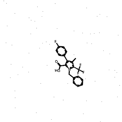 Cc1c(-c2ccc(F)cc2)c(C(=O)O)n(Cc2ccccc2)c1C(F)(F)F